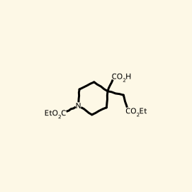 CCOC(=O)CC1(C(=O)O)CCN(C(=O)OCC)CC1